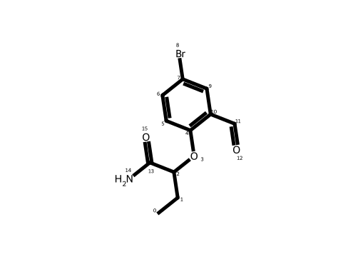 CCC(Oc1ccc(Br)cc1C=O)C(N)=O